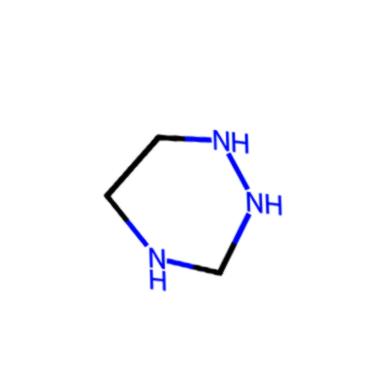 C1CNNCN1